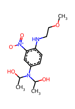 COCCNc1ccc(N(C(C)O)C(C)O)cc1[N+](=O)[O-]